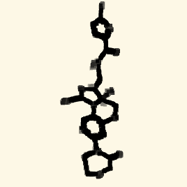 O=C(NC[C@@H]1OC(=O)N2c3cnc(N4CCOCC4=O)cc3OC[C@@H]12)c1ccc(Cl)s1